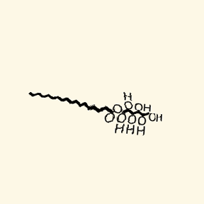 CCCCCCCC/C=C/CCCCCCCC(=O)OC(O)[C@H](O)[C@@H](O)[C@H](O)[C@H](O)CO